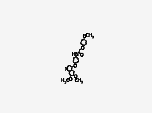 COc1ccc(OCC(=O)Nc2ccc(Oc3ccnc4cc(OC)c(OC)cc34)cc2)cc1